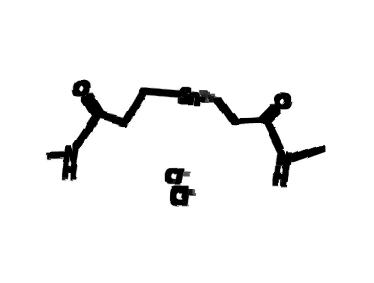 CNC(=O)C[CH2][Sn+2][CH2]CC(=O)NC.[Cl-].[Cl-]